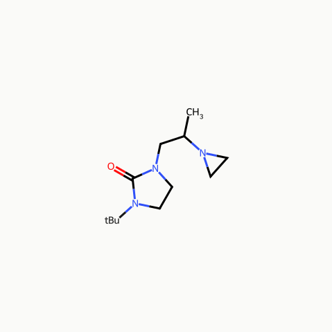 CC(CN1CCN(C(C)(C)C)C1=O)N1CC1